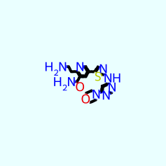 NCCc1ncc(-c2cnc(Nc3cc(N4CCOCC4)ncn3)s2)cc1C(N)=O